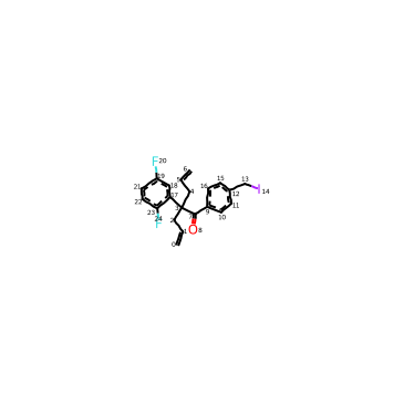 C=CCC(CC=C)(C(=O)c1ccc(CI)cc1)c1cc(F)ccc1F